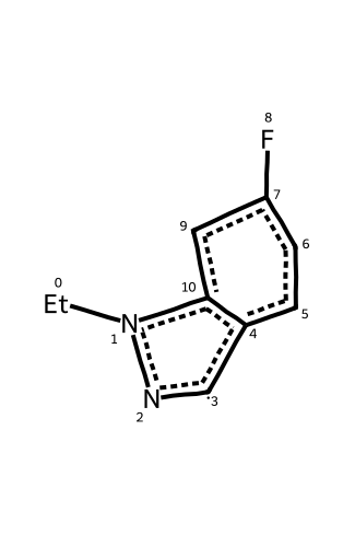 CCn1n[c]c2ccc(F)cc21